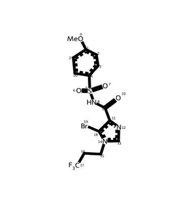 COc1ccc(S(=O)(=O)NC(=O)c2ncn(CCC(F)(F)F)c2Br)cc1